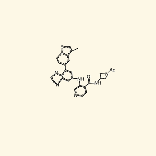 CC(=O)N1CC(NC(=O)c2ccncc2Nc2cc(-c3ccc4scc(C)c4c3)c3nccnc3c2)C1